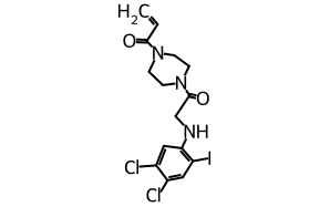 C=CC(=O)N1CCN(C(=O)CNc2cc(Cl)c(Cl)cc2I)CC1